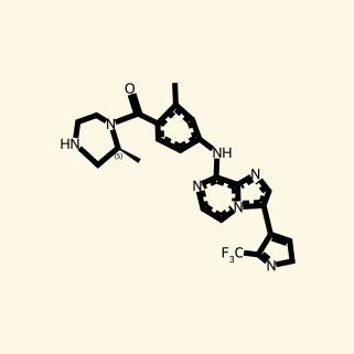 Cc1cc(Nc2nccn3c(C4=CCN=C4C(F)(F)F)cnc23)ccc1C(=O)N1CCNC[C@@H]1C